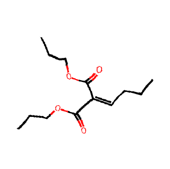 CCCC=C(C(=O)OCCC)C(=O)OCCC